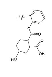 Cc1ccccc1OC(=O)C1CCC(O)CC1C(=O)O